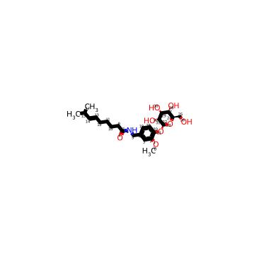 COc1cc(CNC(=O)CCCC/C=C/C(C)C)ccc1O[C@@H]1O[C@H](CO)[C@@H](O)[C@H](O)[C@H]1O